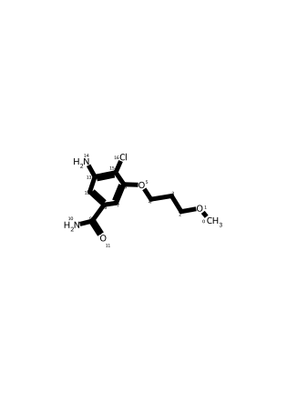 COCCCOc1cc(C(N)=O)cc(N)c1Cl